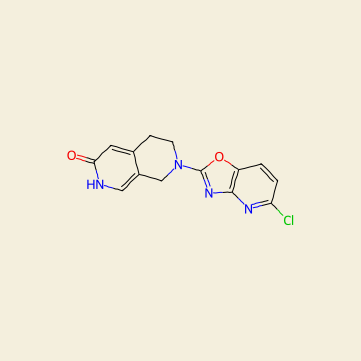 O=c1cc2c(c[nH]1)CN(c1nc3nc(Cl)ccc3o1)CC2